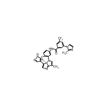 Cc1ccc(NC(=O)c2cc(-n3ccnc3C)cc(C(F)(F)F)c2)cc1-n1cc(C)c2ncc(-c3cn[nH]c3)n21